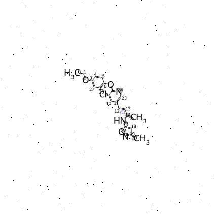 CCOc1ccc(Oc2ccc(/C=C/[C@H](C)Nc3cc(C)no3)cn2)c(Cl)c1